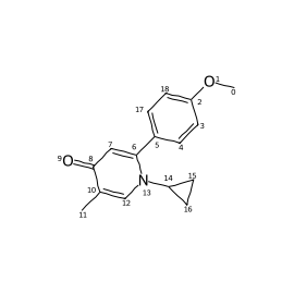 COc1ccc(-c2cc(=O)c(C)cn2C2CC2)cc1